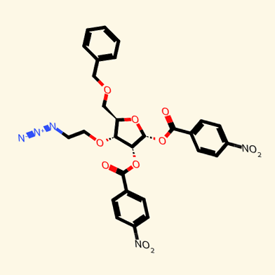 [N-]=[N+]=NCCO[C@H]1[C@@H](OC(=O)c2ccc([N+](=O)[O-])cc2)[C@@H](OC(=O)c2ccc([N+](=O)[O-])cc2)O[C@@H]1COCc1ccccc1